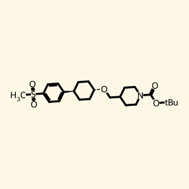 CC(C)(C)OC(=O)N1CCC(CO[C@H]2CC[C@H](c3ccc(S(C)(=O)=O)cc3)CC2)CC1